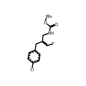 CC(C)(C)OC(=O)NCC(=CF)Cc1ccc(Cl)cc1